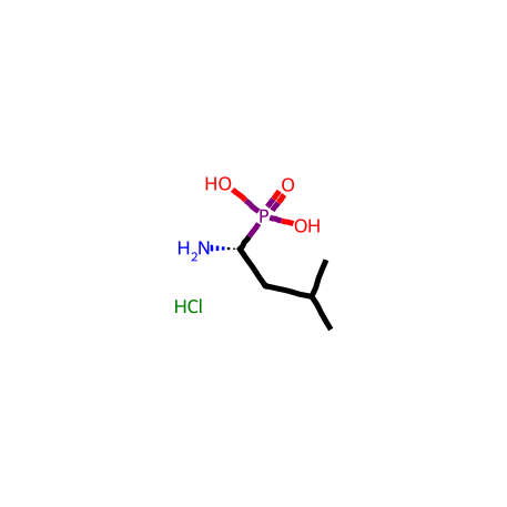 CC(C)C[C@H](N)P(=O)(O)O.Cl